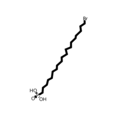 O=P(O)(O)CCCCCCCCCCCCCCCCCCCBr